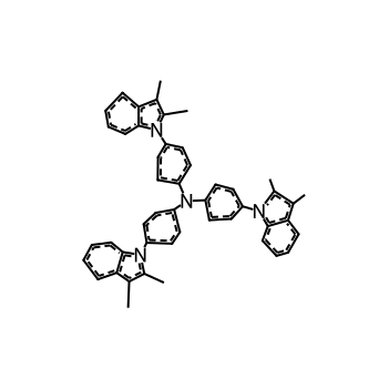 Cc1c(C)n(-c2ccc(N(c3ccc(-n4c(C)c(C)c5ccccc54)cc3)c3ccc(-n4c(C)c(C)c5ccccc54)cc3)cc2)c2ccccc12